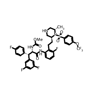 COC(=O)N[C@H](C(=O)Nc1cccc(F)c1CC[C@H]1CNC[C@H](C)N1S(=O)(=O)c1ccc(OC(F)(F)F)cc1)[C@@H](c1ccc(F)cc1)c1cc(F)cc(F)c1